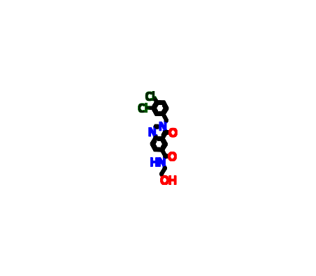 O=C(NCCO)c1ccc2ncn(Cc3ccc(Cl)c(Cl)c3)c(=O)c2c1